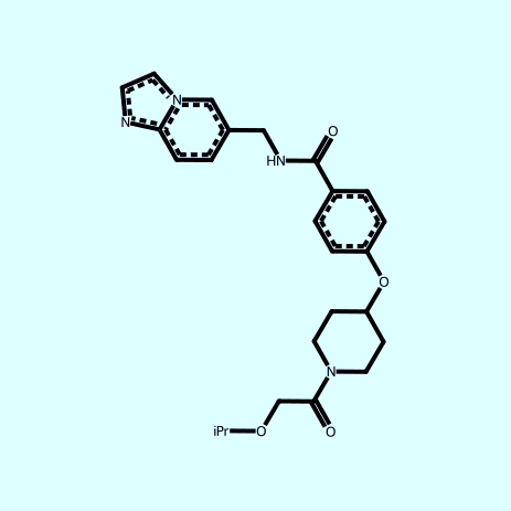 CC(C)OCC(=O)N1CCC(Oc2ccc(C(=O)NCc3ccc4nccn4c3)cc2)CC1